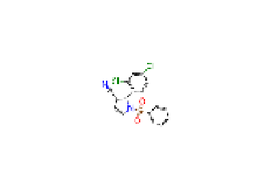 N#Cc1ccn(S(=O)(=O)c2ccccc2)c1-c1ccc(Cl)cc1Cl